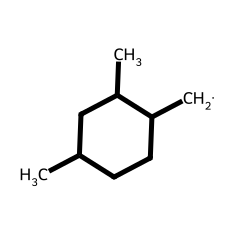 [CH2]C1CCC(C)CC1C